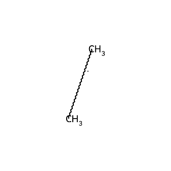 CCCCCCCCCCCCC[CH]CCCCCCCCCCCCCCCCCCCCCCCCCCCC